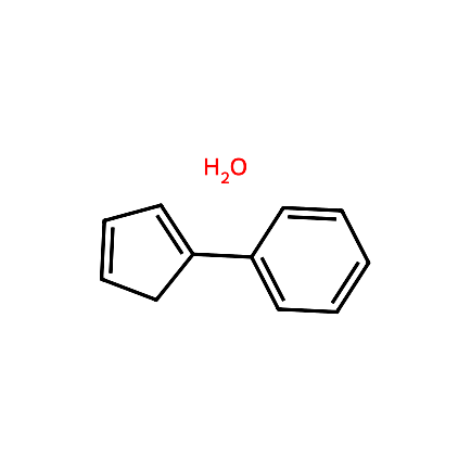 C1=CCC(c2ccccc2)=C1.O